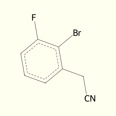 N#CCc1cccc(F)c1Br